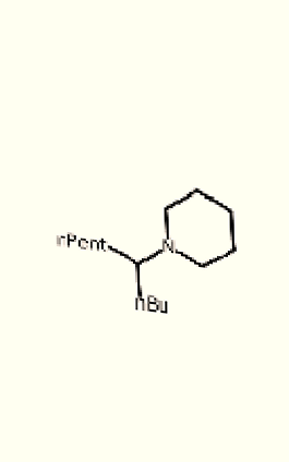 CCCCCC(CCCC)N1CCCCC1